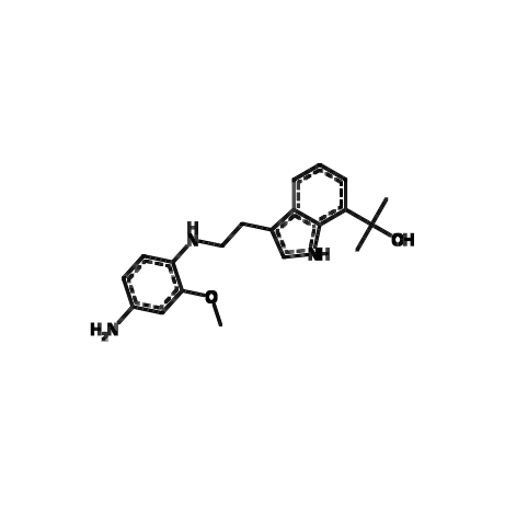 COc1cc(N)ccc1NCCc1c[nH]c2c(C(C)(C)O)cccc12